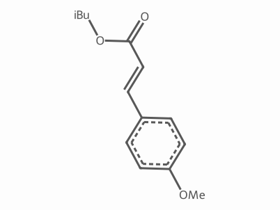 CCC(C)OC(=O)C=Cc1ccc(OC)cc1